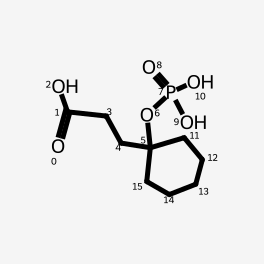 O=C(O)CCC1(OP(=O)(O)O)CCCCC1